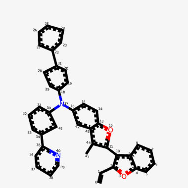 C=Cc1oc2ccccc2c1-c1oc2ccc(N(c3ccc(-c4ccccc4)cc3)c3cccc(-c4ccccn4)c3)cc2c1C